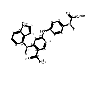 COC(=O)N(C)c1ccc(Nc2cc(N(C)c3cccc4[nH]ccc34)c(C(N)=O)cn2)cc1